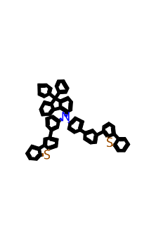 c1ccc(C2(c3ccccc3)c3ccccc3-c3c(N(c4ccc(-c5cccc(-c6cccc7c6sc6ccccc67)c5)cc4)c4cccc(-c5ccc6sc7ccccc7c6c5)c4)cccc32)cc1